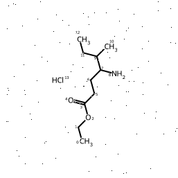 CCOC(=O)CCC(N)C(C)CC.Cl